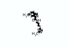 Cc1nnc(SCCCNC(=O)c2nnc3ccn(C)cc2-3)s1